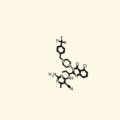 CCC(Nc1nc(N)nc(C)c1C#N)c1nc2cccc(Cl)c2c(=O)n1N1CCN(Cc2ccc(C(F)(F)F)cc2)CC1